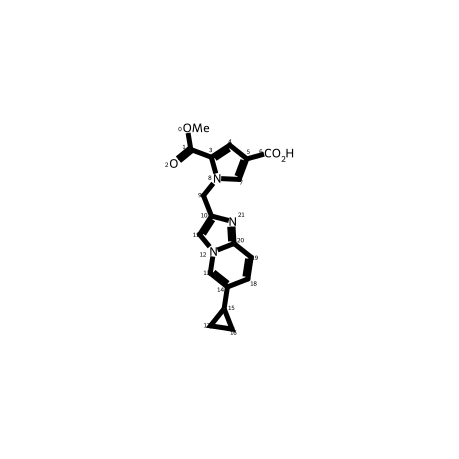 COC(=O)c1cc(C(=O)O)cn1Cc1cn2cc(C3CC3)ccc2n1